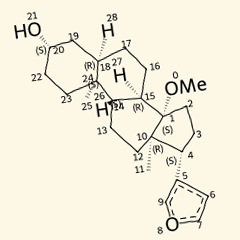 CO[C@]12CC[C@H](c3ccoc3)[C@@]1(C)CC[C@H]1[C@H]2CC[C@@H]2C[C@@H](O)CC[C@@]21C